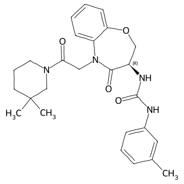 Cc1cccc(NC(=O)N[C@@H]2COc3ccccc3N(CC(=O)N3CCCC(C)(C)C3)C2=O)c1